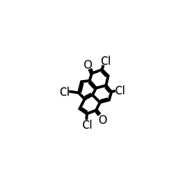 O=C1C(Cl)=Cc2c(Cl)cc3c4c(c(Cl)cc1c24)C=C(Cl)C3=O